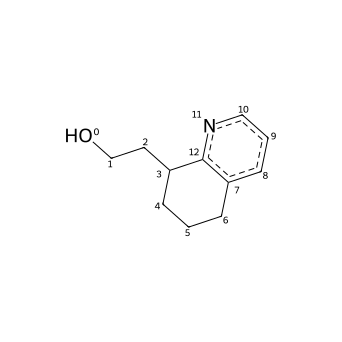 OCCC1CCCc2cccnc21